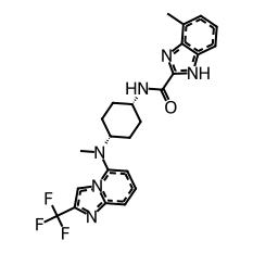 Cc1cccc2[nH]c(C(=O)N[C@H]3CC[C@@H](N(C)c4cccc5nc(C(F)(F)F)cn45)CC3)nc12